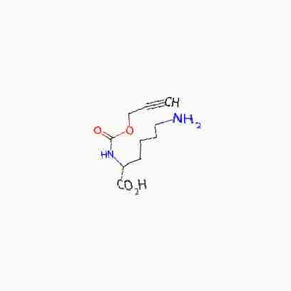 C#CCOC(=O)NC(CCCCN)C(=O)O